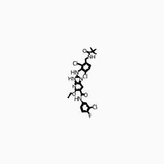 CCOc1nc2[nH]c(Nc3c(Cl)ccc(CNC(=O)C(C)(C)C)c3Cl)nc2cc1C(=O)Nc1ccc(F)c(Cl)c1